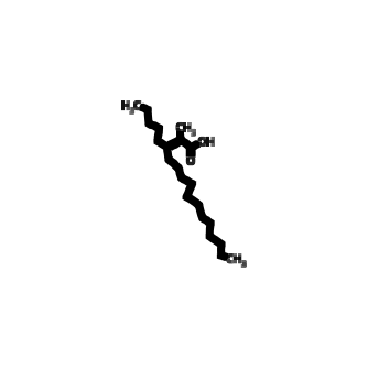 CCCCCCCCCCCCC(CCCCC)=C(C)C(=O)O